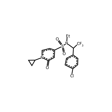 CCN(C(c1ccc(Cl)cc1)C(F)(F)F)S(=O)(=O)c1ccn(C2CC2)c(=O)c1